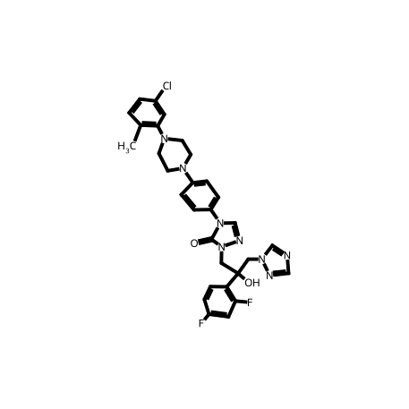 Cc1ccc(Cl)cc1N1CCN(c2ccc(-n3cnn(CC(O)(Cn4cncn4)c4ccc(F)cc4F)c3=O)cc2)CC1